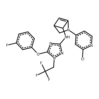 Fc1cccc(Oc2nc(NC3C4=CC3CN4c3ccnc(Cl)c3)nn2CC(F)(F)F)c1